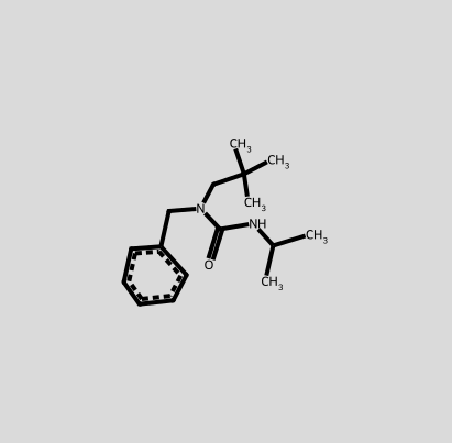 CC(C)NC(=O)N(Cc1ccccc1)CC(C)(C)C